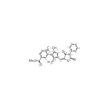 COC(=O)c1ccc(C)c(-n2c(C)cc(C=C3SC(=O)N(c4ccccc4)C3=O)c2C)c1